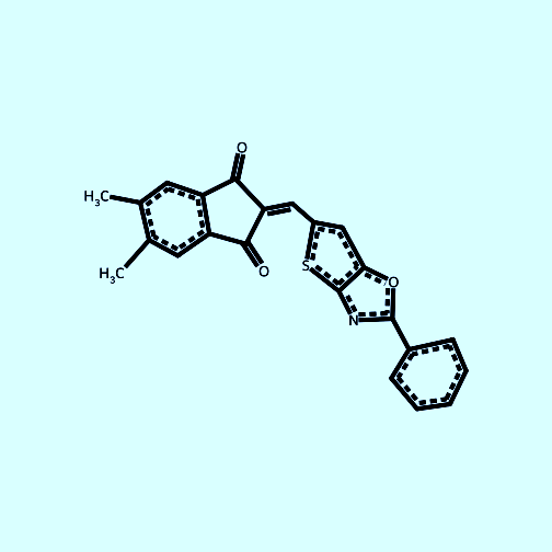 Cc1cc2c(cc1C)C(=O)C(=Cc1cc3oc(-c4ccccc4)nc3s1)C2=O